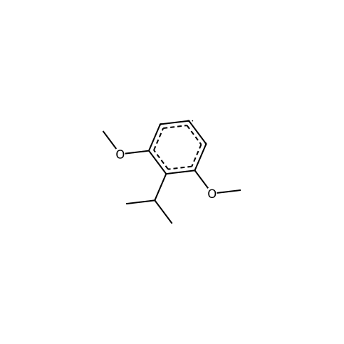 COc1c[c]cc(OC)c1C(C)C